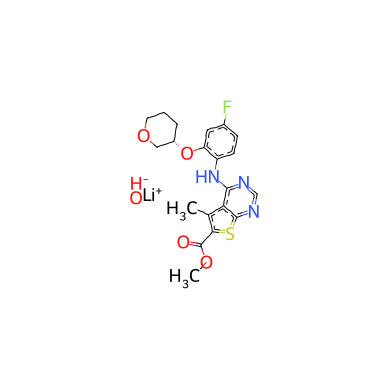 COC(=O)c1sc2ncnc(Nc3ccc(F)cc3O[C@H]3CCCOC3)c2c1C.[Li+].[OH-]